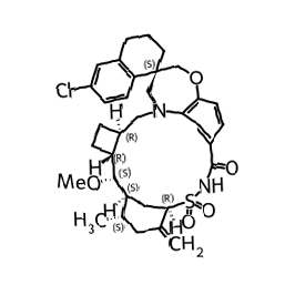 C=C1C[C@H](C)[C@@H]2C[C@H]1S(=O)(=O)NC(=O)c1ccc3c(c1)N(C[C@@H]1CC[C@H]1[C@H]2OC)C[C@@]1(CCCc2cc(Cl)ccc21)CO3